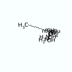 C.CCCCCCCCCCCCCCCCCC.CCCCN(CCCC)CCCC.NC(O)=S.NC(O)=S